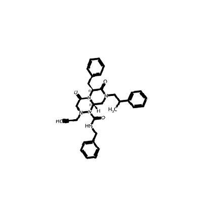 C#CCN1CC(=O)N2[C@@H](Cc3ccccc3)C(=O)N(CC(C)c3ccccc3)C[C@@H]2N1C(=O)NCc1ccccc1